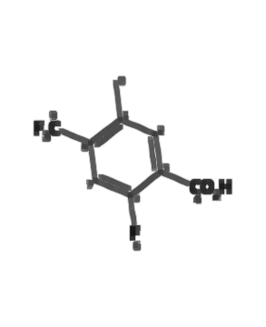 Cc1cc(C(=O)O)c(F)cc1C(F)(F)F